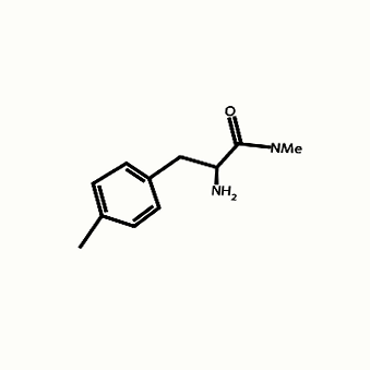 CNC(=O)C(N)Cc1ccc(C)cc1